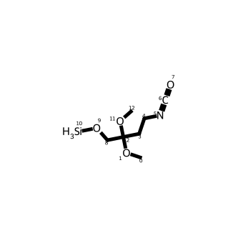 COC(CCN=C=O)(CO[SiH3])OC